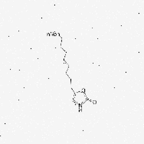 CCCCCCCCCCCCCCCCCc1c[nH]c(=O)o1